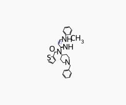 Cc1ccccc1N/C=C\C(=N)N(C(=O)c1cccs1)C1CCN(Cc2ccccc2)CC1